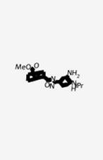 COC(=O)C12C3C4C1C1C2C3C41c1nc(-c2ccc(NC(C)C)c(N)c2)no1